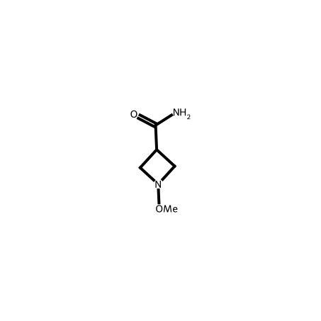 CON1CC(C(N)=O)C1